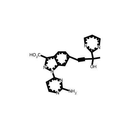 CC(O)(C#Cc1ccc2c(C(=O)O)nn(-c3ccnc(N)n3)c2c1)c1ncccn1